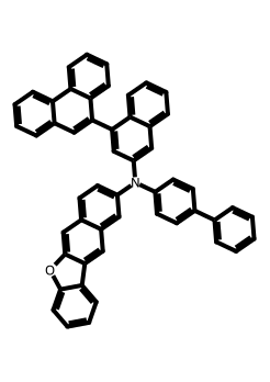 c1ccc(-c2ccc(N(c3ccc4cc5oc6ccccc6c5cc4c3)c3cc(-c4cc5ccccc5c5ccccc45)c4ccccc4c3)cc2)cc1